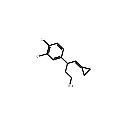 NCCC(C=C1CC1)c1ccc(Cl)c(Cl)c1